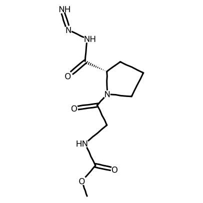 COC(=O)NCC(=O)N1CCC[C@H]1C(=O)NN=N